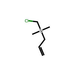 C=CC[Si](C)(C)CCl